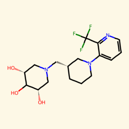 OC1[C@H](O)CN(C[C@H]2CCCN(c3cccnc3C(F)(F)F)C2)C[C@@H]1O